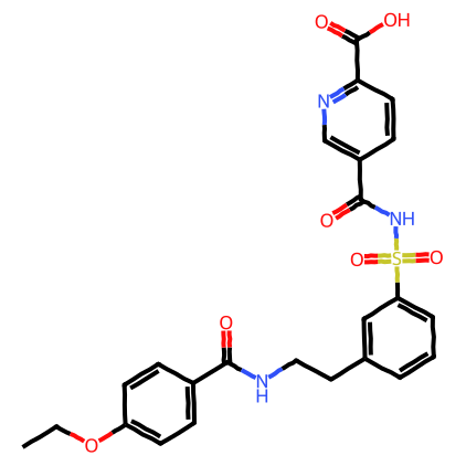 CCOc1ccc(C(=O)NCCc2cccc(S(=O)(=O)NC(=O)c3ccc(C(=O)O)nc3)c2)cc1